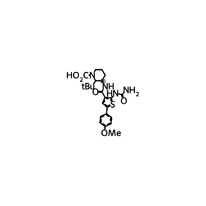 COc1ccc(-c2cc(C(=O)N[C@@H]3CCCN(C(=O)O)C3C(C)(C)C)c(NC(N)=O)s2)cc1